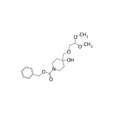 COC(COCC1(O)CCN(C(=O)OCc2ccccc2)CC1)OC